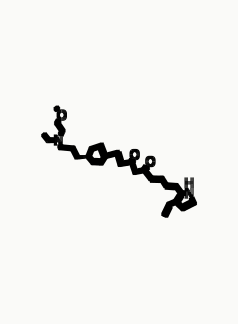 C=Cc1cc[nH]c1/C=C/C=C/C(=O)CC(=O)/C=C/C1=CC[C@H](CCCN(CC)CCOC)C=C1